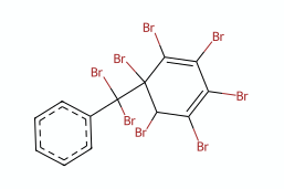 BrC1=C(Br)C(Br)C(Br)(C(Br)(Br)c2ccccc2)C(Br)=C1Br